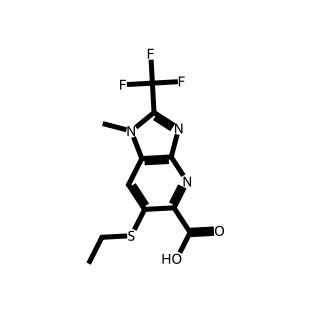 CCSc1cc2c(nc1C(=O)O)nc(C(F)(F)F)n2C